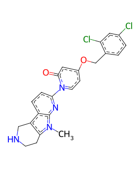 Cn1c2c(c3ccc(-n4ccc(OCc5ccc(Cl)cc5Cl)cc4=O)nc31)CNCC2